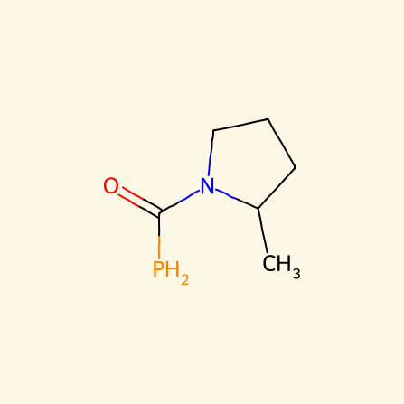 CC1CCCN1C(=O)P